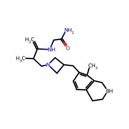 C=C(NCC(N)=O)C(C)CN1CC(Cc2ccc3c(c2C)CBCC3)C1